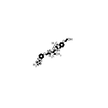 COC(=O)[C@H](Cc1ccc(OCCO)cc1)NC(=O)[C@H](C(C)C)n1cc(COc2ccc3nc(S(N)(=O)=O)sc3c2)nn1